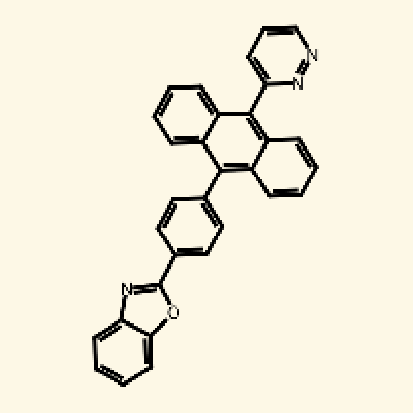 c1cnnc(-c2c3ccccc3c(-c3ccc(-c4nc5ccccc5o4)cc3)c3ccccc23)c1